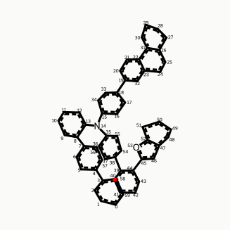 c1ccc(-c2ccc(-c3ccccc3N(c3ccc(-c4ccc5c(ccc6ccccc65)c4)cc3)c3ccc(-c4ccccc4-c4cc5ccccc5o4)cc3)cc2)cc1